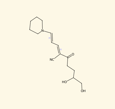 N#C/C(=C\C=C\N1CCCCC1)C(=O)CCC(O)CO